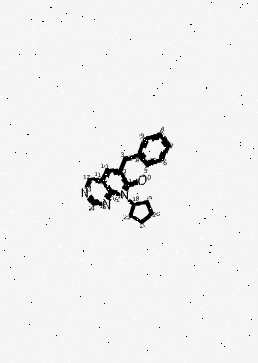 O=c1c(Cc2ccccc2)cc2cncnc2n1C1CCCC1